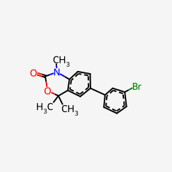 CN1C(=O)OC(C)(C)c2cc(-c3cccc(Br)c3)ccc21